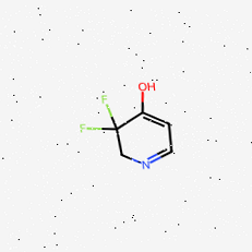 OC1=CC=NCC1(F)F